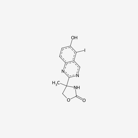 CC1(c2ncc3c(I)c(O)ccc3n2)COC(=O)N1